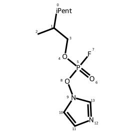 CCCC(C)C(C)COP(=O)(F)On1ccnc1